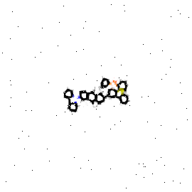 CC1(C)c2ccc(-n3c4ccccc4c4ccccc43)cc2C(C)(C)c2ccc(-c3cc(P(=O)(c4ccccc4)c4ccccc4)c4sc5ccccc5c4c3)cc21